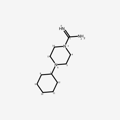 N=C(N)N1CCN(C2CCCCC2)CC1